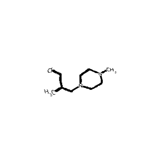 CC(CCl)CN1CCN(C)CC1